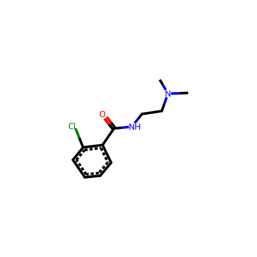 CN(C)CCNC(=O)c1ccccc1Cl